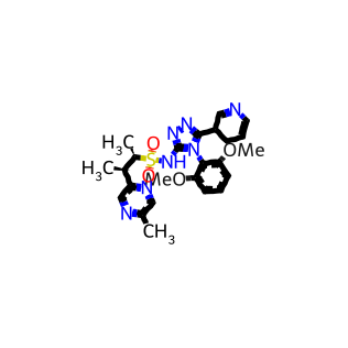 COc1cccc(OC)c1-n1c(NS(=O)(=O)[C@@H](C)[C@H](C)c2cnc(C)cn2)nnc1C1C=NC=CC1